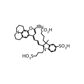 CC(C)(C)C1=C/C(=C\C=C\C2=[N+](CCCS(=O)(=O)O)c3ccc(S(=O)(=O)O)cc3C2(C)CCCC(=O)O)c2cc3c4c(c2O1)CCCN4CCC3